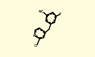 N#Cc1cc(F)cc(Cc2ccnc(Cl)c2)c1